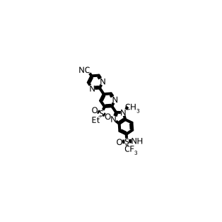 CCS(=O)(=O)c1cc(-c2ncc(C#N)cn2)cnc1-c1nc2cc(S(=N)(=O)C(F)(F)F)ccc2n1C